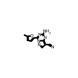 Cc1ccc(-c2nc(N)nc3c(C#N)cnn23)o1